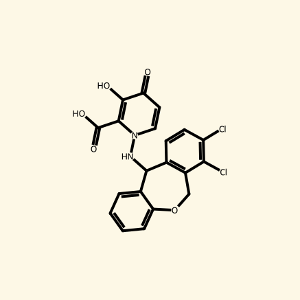 O=C(O)c1c(O)c(=O)ccn1NC1c2ccccc2OCc2c1ccc(Cl)c2Cl